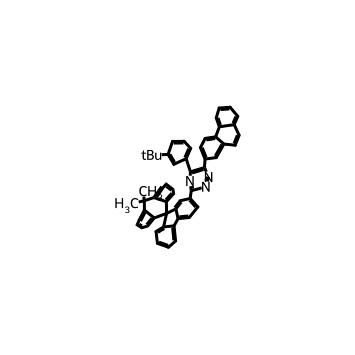 CC(C)(C)c1cccc(-c2nc(-c3ccc4c(c3)C3(c5ccccc5-4)c4ccccc4C(C)(C)c4ccccc43)nnc2-c2ccc3c(ccc4ccccc43)c2)c1